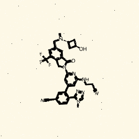 Cn1cnnc1-c1ccc(C#N)cc1-c1cc(NCCC#N)nc(N2Cc3c(cc(CN(C)[C@H]4C[C@H](O)C4)cc3C(F)(F)F)C2=O)c1